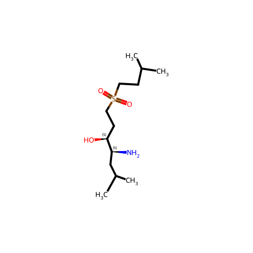 CC(C)CCS(=O)(=O)CC[C@H](O)[C@@H](N)CC(C)C